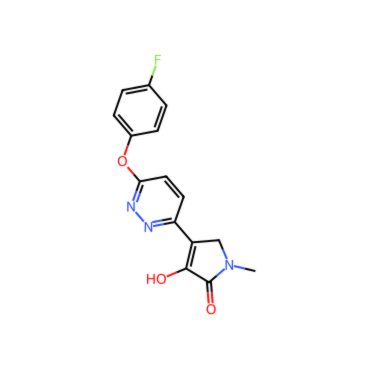 CN1CC(c2ccc(Oc3ccc(F)cc3)nn2)=C(O)C1=O